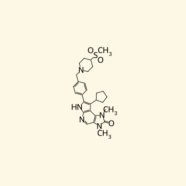 Cn1c(=O)n(C)c2c3c(C4CCCC4)c(-c4ccc(CN5CCC(S(C)(=O)=O)CC5)cc4)[nH]c3ncc21